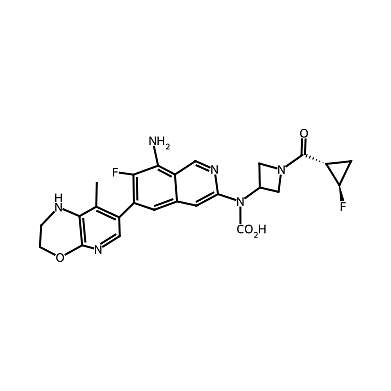 Cc1c(-c2cc3cc(N(C(=O)O)C4CN(C(=O)[C@@H]5C[C@H]5F)C4)ncc3c(N)c2F)cnc2c1NCCO2